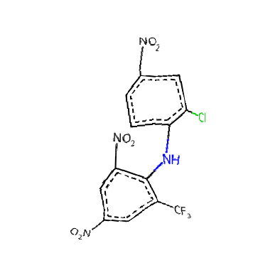 O=[N+]([O-])c1ccc(Nc2c([N+](=O)[O-])cc([N+](=O)[O-])cc2C(F)(F)F)c(Cl)c1